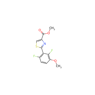 COC(=O)c1csc(-c2c(F)ccc(OC)c2F)n1